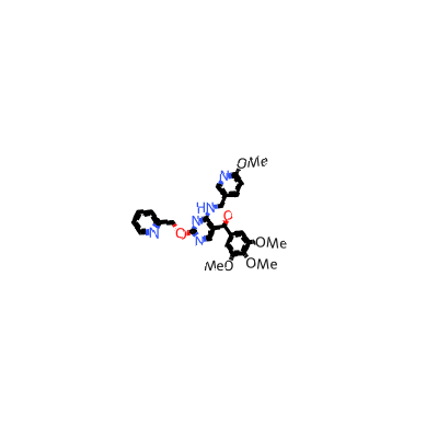 COc1ccc(CNc2nc(OCc3ccccn3)ncc2C(=O)c2cc(OC)c(OC)c(OC)c2)cn1